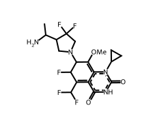 COC1=c2c(c(=O)[nH]c(=O)n2C2CC2)=C(C(F)F)C(F)C1N1CC(C(C)N)C(F)(F)C1